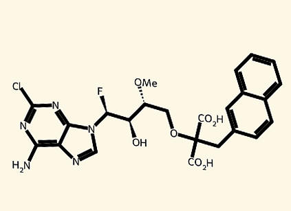 CO[C@H](COC(Cc1ccc2ccccc2c1)(C(=O)O)C(=O)O)[C@@H](O)[C@H](F)n1cnc2c(N)nc(Cl)nc21